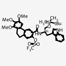 COc1cc2c(c(OC)c1OC)CCc1cc(OS(=O)(=O)C(F)(F)F)c(C(=O)N[C@@H](CO[Si](C)(C)C(C)(C)C)Cc3c[nH]c4ccccc34)cc1-2